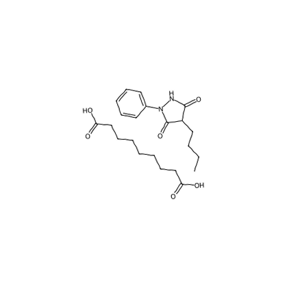 CCCCC1C(=O)NN(c2ccccc2)C1=O.O=C(O)CCCCCCCC(=O)O